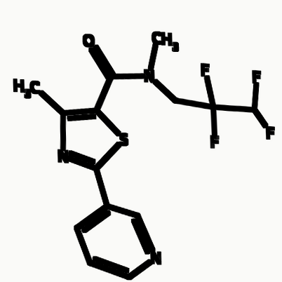 Cc1nc(-c2cccnc2)sc1C(=O)N(C)CC(F)(F)C(F)F